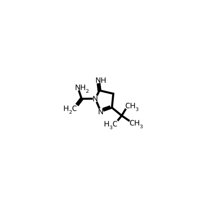 C=C(N)N1N=C(C(C)(C)C)CC1=N